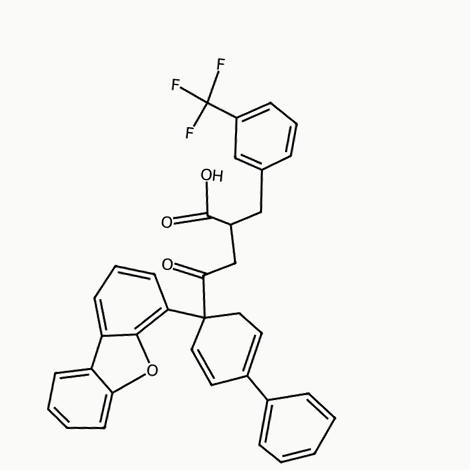 O=C(O)C(CC(=O)C1(c2cccc3c2oc2ccccc23)C=CC(c2ccccc2)=CC1)Cc1cccc(C(F)(F)F)c1